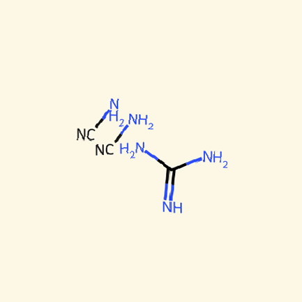 N#CN.N#CN.N=C(N)N